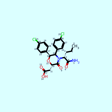 CCC[C@H](C(N)=O)N1C(=O)[C@H](CC(=O)O)O[C@@H](c2ccc(Cl)cc2)C1c1ccc(Cl)cc1